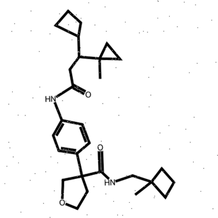 CC1(CNC(=O)C2(c3ccc(NC(=O)CC(C4CCC4)C4(C)CC4)cc3)CCOC2)CCC1